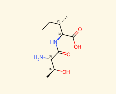 CC[C@H](C)[C@H](NC(=O)[C@@H](N)[C@H](C)O)C(=O)O